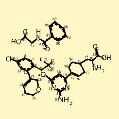 Nc1nc(O[C@H](c2ccc(Cl)cc2C2=CCCOC2)C(F)(F)F)cc(C2=CCC(C[C@H](N)C(=O)O)CC2)n1.O=C(O)CNC(=O)c1ccccc1